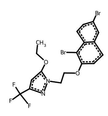 CCOc1cc(C(F)(F)F)nn1CCOc1ccc2cc(Br)ccc2c1Br